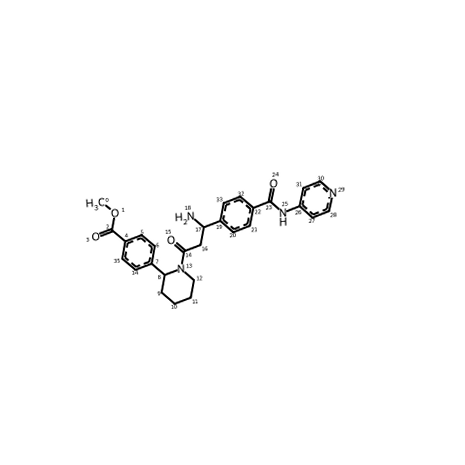 COC(=O)c1ccc(C2CCCCN2C(=O)CC(N)c2ccc(C(=O)Nc3ccncc3)cc2)cc1